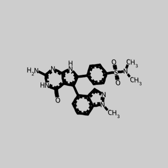 CN(C)S(=O)(=O)c1ccc(-c2[nH]c3nc(N)[nH]c(=O)c3c2-c2cccc3c2cnn3C)cc1